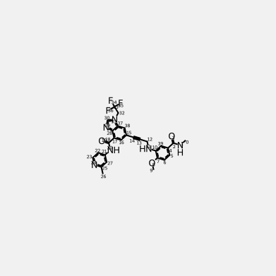 CNC(=O)c1ccc(OC)c(NCC#Cc2cc(C(=O)Nc3ccnc(C)c3)c3ncn(CC(F)(F)F)c3c2)c1